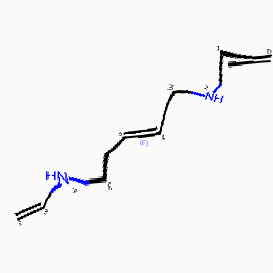 C=CNC/C=C/CNC=C